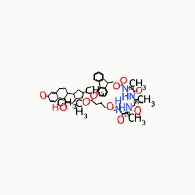 CC1CC2C3CCC4=CC(=O)C=CC4(C)C3C(O)CC2(C)C1OC(=O)CCCOCNC(=O)[C@H](C)NC(=O)[C@H](C)NC(=O)[C@H](C)NC(=O)OCC1c2ccccc2-c2ccccc21